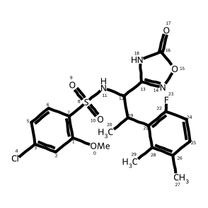 COc1cc(Cl)ccc1S(=O)(=O)NC(c1noc(=O)[nH]1)C(C)c1c(F)ccc(C)c1C